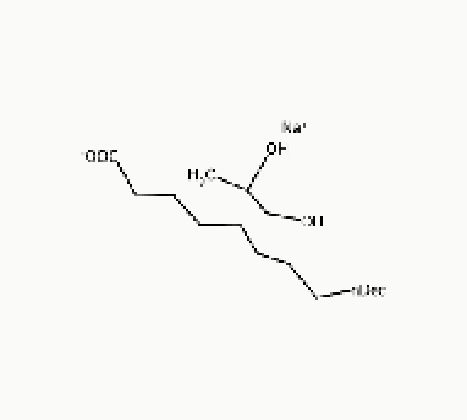 CC(O)CO.CCCCCCCCCCCCCCCCCC(=O)[O-].[Na+]